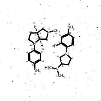 CN(C)C1CCN(c2ccc(N)cc2F)C1.CN1C[C@@H]2CCN(c3ccc(N)cc3)[C@@H]2C1